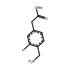 COC(=O)Cc1ccc(CN)c(F)c1